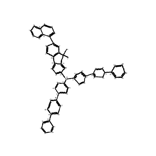 CC1(C)c2cc(-c3cccc4ccccc34)ccc2-c2ccc(N(c3ccc(C4=CCC(c5ccccc5)C=C4)cc3)c3ccc(-c4ccc(-c5ccccc5)cc4)cc3)cc21